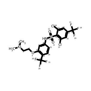 C[As](C)CCOc1cc(NS(=O)(=O)c2c(Cl)cc(C(F)(F)F)cc2Cl)ccc1C(F)(F)F